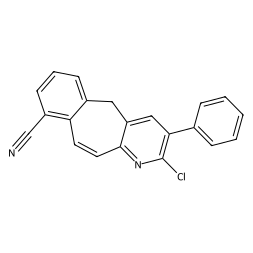 N#Cc1cccc2c1C=Cc1nc(Cl)c(-c3ccccc3)cc1C2